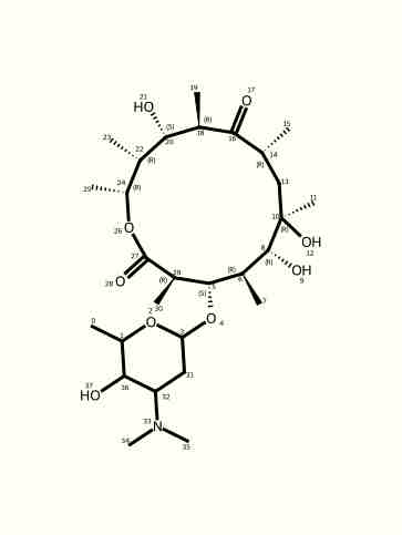 CC1OC(O[C@H]2[C@H](C)[C@@H](O)[C@](C)(O)C[C@@H](C)C(=O)[C@H](C)[C@@H](O)[C@@H](C)[C@@H](C)OC(=O)[C@@H]2C)CC(N(C)C)C1O